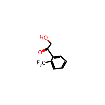 O=C(CO)c1ccccc1C(F)(F)F